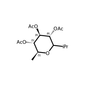 CC(=O)O[C@@H]1[C@@H](OC(C)=O)[C@H](OC(C)=O)C(C(C)C)O[C@H]1C